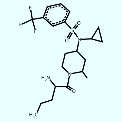 CCCC(N)C(=O)N1CCC(N(C2CC2)S(=O)(=O)c2cccc(C(F)(F)F)c2)CC1I